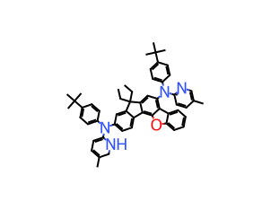 CCC1(CC)c2cc(N(C3=CC=C(C)CN3)c3ccc(C(C)(C)C)cc3)ccc2-c2c1cc(N(c1ccc(C(C)(C)C)cc1)c1ccc(C)cn1)c1c2oc2ccccc21